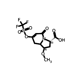 CO[C@@H]1C[C@@H](C(=O)O)N2C(=O)C=C(OS(=O)(=O)C(F)(F)F)CC12